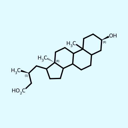 C[C@H](CC(=O)O)CC1CCC2C3CCC4C[C@H](O)CCC4(C)C3CC[C@]12C